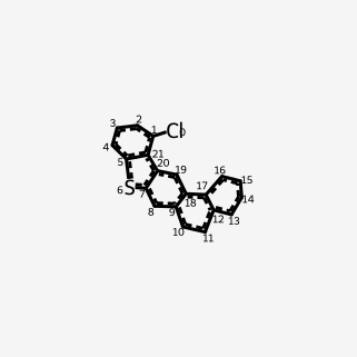 Clc1cccc2sc3cc4ccc5ccccc5c4cc3c12